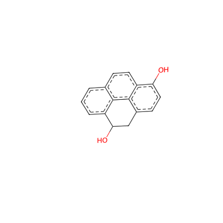 Oc1ccc2c3c1ccc1cccc(c13)C(O)C2